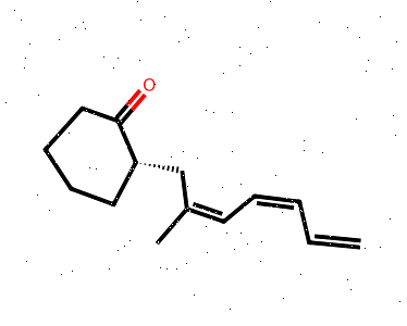 C=C/C=C\C=C(\C)C[C@@H]1CCCCC1=O